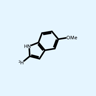 [2H]c1cc2cc(OC)ccc2[nH]1